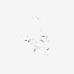 CN(C)C(=O)C1c2c(c(CSCCN)nn2C)C2CN1C(=O)N2OS(=O)(=O)O